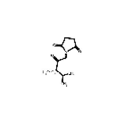 CC(C)[C@H](C)C(=O)CN1C(=O)CCC1=O